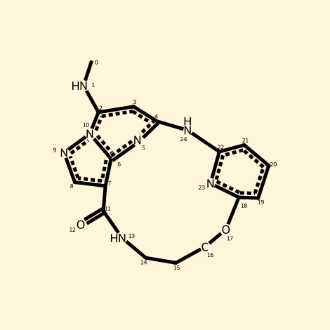 CNc1cc2nc3c(cnn13)C(=O)NCCCOc1cccc(n1)N2